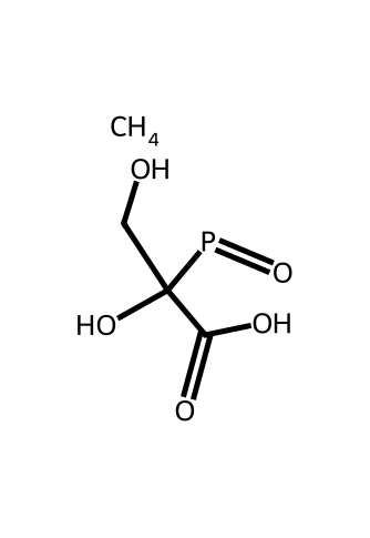 C.O=PC(O)(CO)C(=O)O